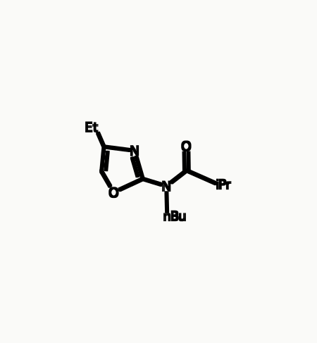 CCCCN(C(=O)C(C)C)c1nc(CC)co1